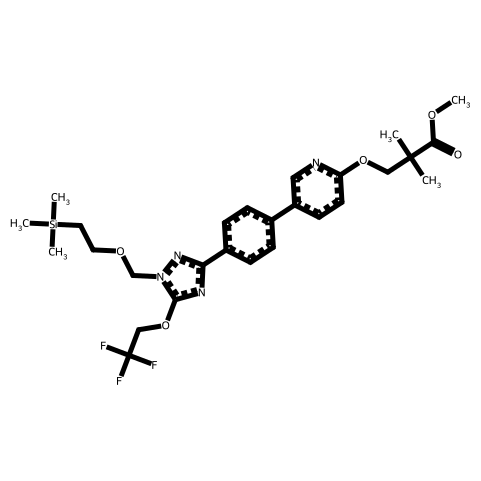 COC(=O)C(C)(C)COc1ccc(-c2ccc(-c3nc(OCC(F)(F)F)n(COCC[Si](C)(C)C)n3)cc2)cn1